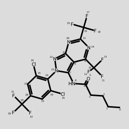 CCCCC(=O)Nc1c2c(C(F)(F)F)nc(C(F)(F)F)nc2nn1-c1c(Cl)cc(C(F)(F)F)cc1Cl